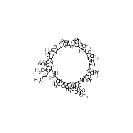 C/C=C/C[C@@H](C)[C@@H](OC(C)=O)[C@H]1C(=O)N[C@@H](CC)C(=O)N(C)[C@H](C)C(=O)N(C)[C@@H]([C@H](C)CS(C)(=O)=O)C(=O)N[C@@H](C(C)C)C(=O)N(C)[C@@H](CC(C)C)C(=O)N[C@@H](C)C(=O)N[C@H](C)C(=O)N(C)[C@@H](CC(C)C)C(=O)N(C)[C@@H](CC(C)C)C(=O)N(C)[C@@H](C(C)C)C(=O)N1C